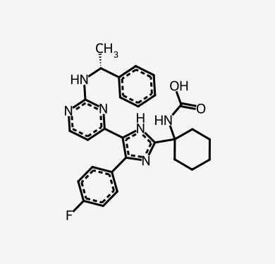 C[C@@H](Nc1nccc(-c2[nH]c(C3(NC(=O)O)CCCCC3)nc2-c2ccc(F)cc2)n1)c1ccccc1